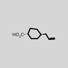 C=CC[C@H]1CC[C@H](C(=O)O)CC1